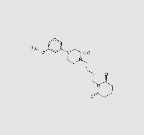 COc1cccc(N2CCN(CCCCN3C(=O)CCCC3=O)CC2)c1.Cl